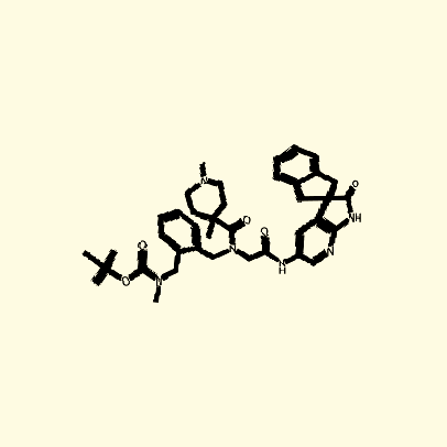 CN1CCC(C)(C(=O)N(CC(=O)Nc2cnc3c(c2)C2(Cc4ccccc4C2)C(=O)N3)Cc2ccccc2CN(C)C(=O)OC(C)(C)C)CC1